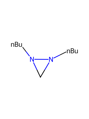 CCCCN1CN1CCCC